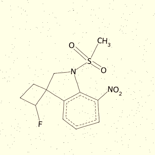 CS(=O)(=O)N1CC2(CCC2F)c2cccc([N+](=O)[O-])c21